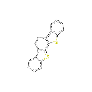 c1ccc2c(c1)sc1c2ccc2c3ccccc3sc21